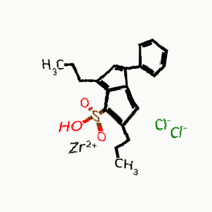 CCCC1=C2C(=CC(CCC)=C2S(=O)(=O)O)C(c2ccccc2)=C1.[Cl-].[Cl-].[Zr+2]